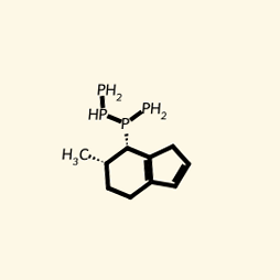 C[C@H]1CCC2=C(CC=C2)[C@H]1P(P)PP